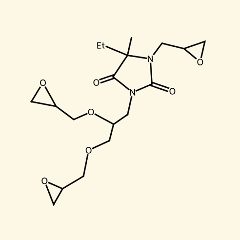 CCC1(C)C(=O)N(CC(COCC2CO2)OCC2CO2)C(=O)N1CC1CO1